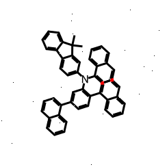 CC1(C)c2ccccc2-c2ccc(N(c3cc(-c4cccc5ccccc45)ccc3-c3cccc4ccccc34)c3cccc4ccccc34)cc21